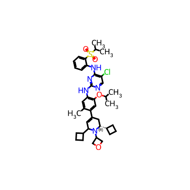 Cc1cc(Nc2ncc(Cl)c(Nc3ccccc3S(=O)(=O)C(C)C)n2)c(OC(C)C)cc1C1=CC(C2CCC2)N(C2COC2)[C@@H](C2CCC2)C1